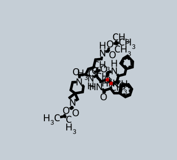 CC(C)CC(NC(=O)C(Cc1ccccc1)NC(=O)C(Cc1ccccc1)NC(=O)OC(C)(C)C)C(=O)NC(CCCCNC(=O)OC(C)(C)C)C(=O)N1CCC2(CC1)CN(C(=O)OC(C)C)C2